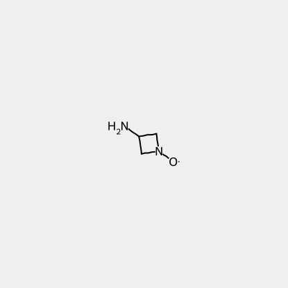 NC1CN([O])C1